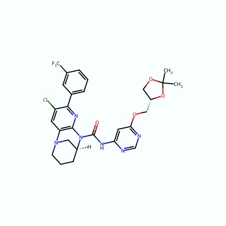 CC1(C)OC[C@@H](COc2cc(NC(=O)N3c4nc(-c5cccc(C(F)(F)F)c5)c(Cl)cc4N4CCC[C@H]3C4)ncn2)O1